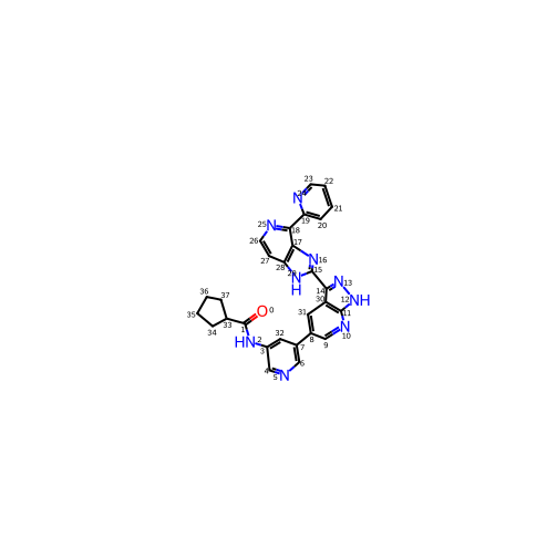 O=C(Nc1cncc(-c2cnc3[nH]nc(-c4nc5c(-c6ccccn6)nccc5[nH]4)c3c2)c1)C1CCCC1